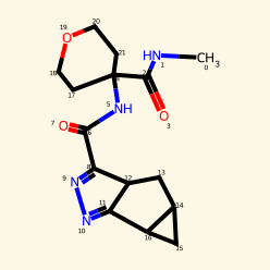 CNC(=O)C1(NC(=O)C2=NN=C3C2CC2CC32)CCOCC1